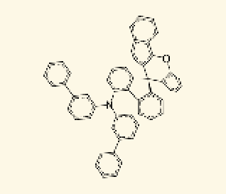 c1ccc(-c2cccc(N(c3cccc(-c4ccccc4)c3)c3cccc4c3-c3ccccc3[C@@]43c4ccccc4Oc4c3ccc3ccccc43)c2)cc1